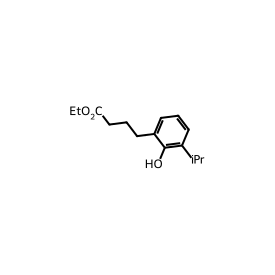 CCOC(=O)CCCc1cccc(C(C)C)c1O